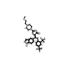 COCCN1CCN(C2=NC(=O)C(=C(Cc3ccc(C(F)(F)F)cc3C(F)(F)F)c3ccc4[nH]ncc4c3)S2)CC1